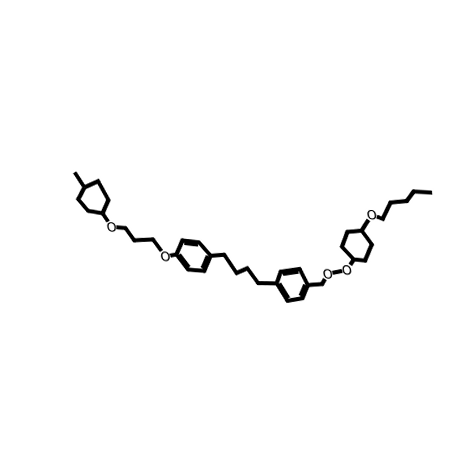 CCCCCOC1CCC(OOCc2ccc(CCCCc3ccc(OCCCOC4CCC(C)CC4)cc3)cc2)CC1